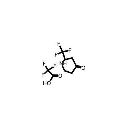 O=C(O)C(F)(F)F.O=C1CCNC(C(F)(F)F)C1